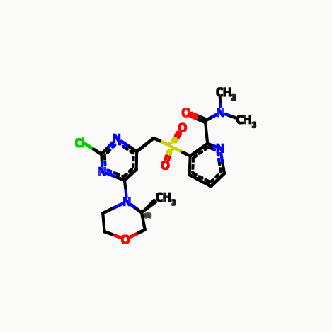 C[C@H]1COCCN1c1cc(CS(=O)(=O)c2cccnc2C(=O)N(C)C)nc(Cl)n1